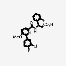 COc1ccc(C(=O)NC(CC(=O)O)c2ccccc2F)nc1-c1ccc(F)c(Cl)c1